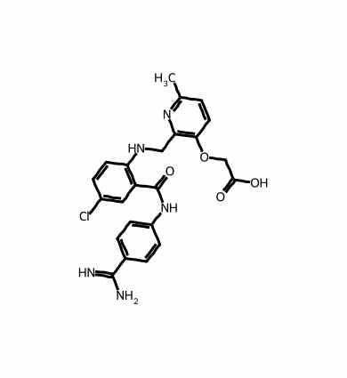 Cc1ccc(OCC(=O)O)c(CNc2ccc(Cl)cc2C(=O)Nc2ccc(C(=N)N)cc2)n1